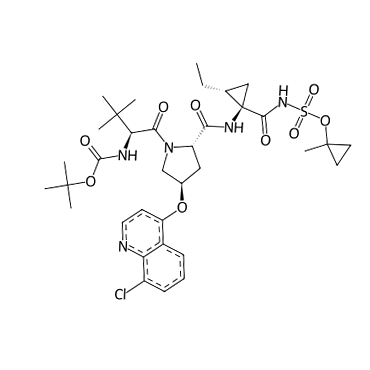 CC[C@@H]1C[C@]1(NC(=O)[C@@H]1C[C@@H](Oc2ccnc3c(Cl)cccc23)CN1C(=O)[C@@H](NC(=O)OC(C)(C)C)C(C)(C)C)C(=O)NS(=O)(=O)OC1(C)CC1